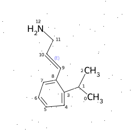 CC(C)c1ccccc1/C=C/CN